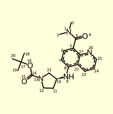 CN(C)C(=O)c1ccc(N[C@H]2CCN(C(=O)OC(C)(C)C)C2)c2cccnc12